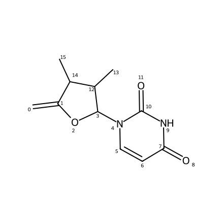 C=C1OC(n2ccc(=O)[nH]c2=O)C(C)C1C